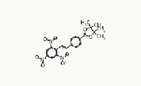 CC1(C)OB(c2ccc(/C=C/c3c([N+](=O)[O-])cc([N+](=O)[O-])cc3[N+](=O)[O-])cc2)OC1(C)C